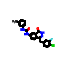 O=C(Nc1cccc(C(F)(F)F)c1)Nc1ccc2c(Cc3ccc(Cl)c(F)c3)n[nH]c(=O)c2c1